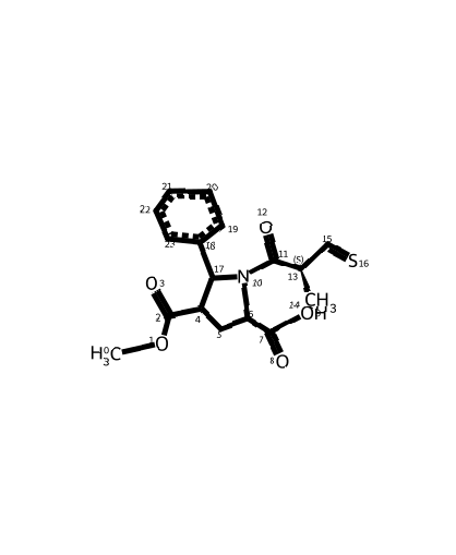 COC(=O)C1CC(C(=O)O)N(C(=O)[C@H](C)C=S)C1c1ccccc1